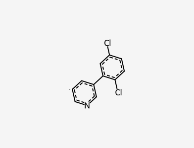 Clc1ccc(Cl)c(-c2c[c]cnc2)c1